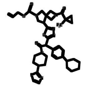 C=CCOC(=O)N1CC(c2nnc(C(C(=O)N3CCC(c4nccs4)CC3)c3ccc(C4CCCCC4)cc3)o2)C2(C1)CN(C(=O)C1(C(F)(F)F)CC1)C2